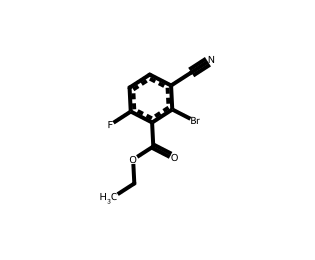 CCOC(=O)c1c(F)ccc(C#N)c1Br